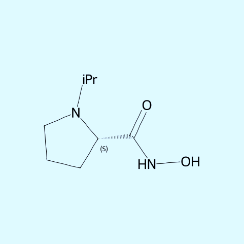 CC(C)N1CCC[C@H]1C(=O)NO